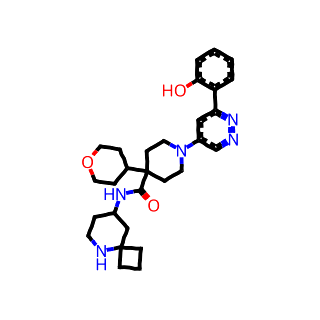 O=C(NC1CCNC2(CCC2)C1)C1(C2CCOCC2)CCN(c2cnnc(-c3ccccc3O)c2)CC1